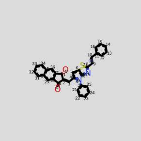 O=C1C(=Cc2cc3sc(/C=C/c4ccccc4)nc3n2-c2ccccc2)C(=O)c2cc3ccccc3cc21